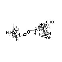 N=C(NCCCCc1ccc(-c2ccc(CCCNC(=O)CNCCN(C[C@H](O)[C@@H](O)[C@H](O)[C@H](O)CO)C[C@H](O)[C@@H](O)[C@H](O)[C@H](O)CC=O)cc2)cc1)NC(=O)c1nc(Cl)c(N)nc1N